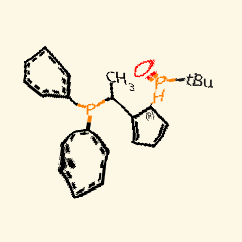 CC(C1=CC=C[C@H]1[PH](=O)C(C)(C)C)P(c1ccccc1)c1ccccc1